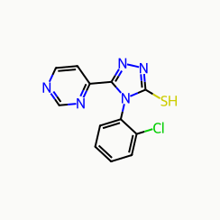 Sc1nnc(-c2ccncn2)n1-c1ccccc1Cl